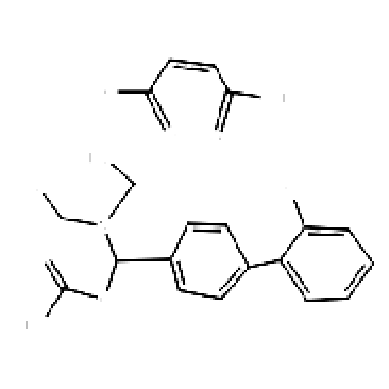 CCN(CC)C(OC(C)=O)c1ccc(-c2ccccc2Cl)cc1.O=C(O)/C=C\C(=O)O